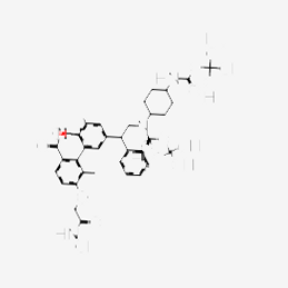 CNC(=O)COc1ccc(C(N)=O)c(-c2cc(C(CN(C(=O)OC(C)(C)C)C3CCC(NC(=O)OC(C)(C)C)CC3)c3ccccc3)cc(F)c2Cl)c1F